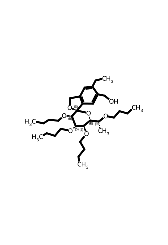 CCCCO[C@H]1[C@H](OCCCC)[C@@H](OCCCC)[C@@]2(OCc3cc(CC)c(CO)cc32)O[C@@H]1[C@@H](C)OCCCC